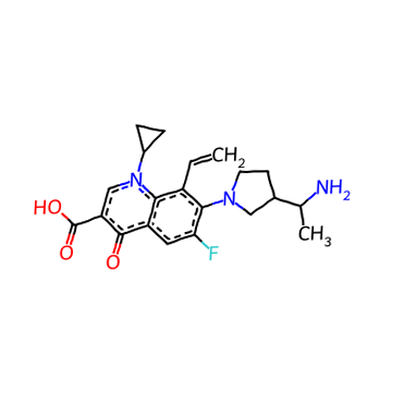 C=Cc1c(N2CCC(C(C)N)C2)c(F)cc2c(=O)c(C(=O)O)cn(C3CC3)c12